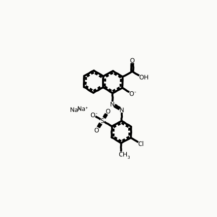 Cc1cc(S(=O)(=O)[O-])c(N=Nc2c([O-])c(C(=O)O)cc3ccccc23)cc1Cl.[Na+].[Na+]